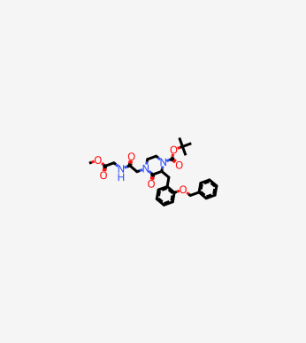 COC(=O)CNC(=O)CN1CCN(C(=O)OC(C)(C)C)C(Cc2ccccc2OCc2ccccc2)C1=O